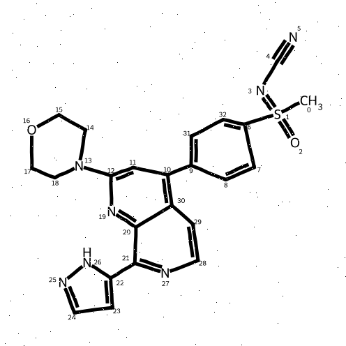 CS(=O)(=NC#N)c1ccc(-c2cc(N3CCOCC3)nc3c(-c4ccn[nH]4)nccc23)cc1